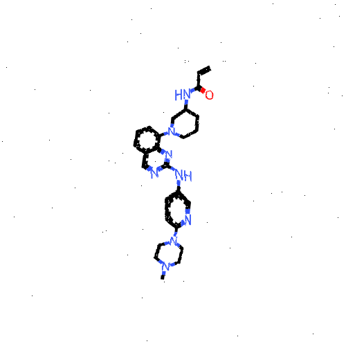 C=CC(=O)NC1CCCN(c2cccc3cnc(Nc4ccc(N5CCN(C)CC5)nc4)nc23)C1